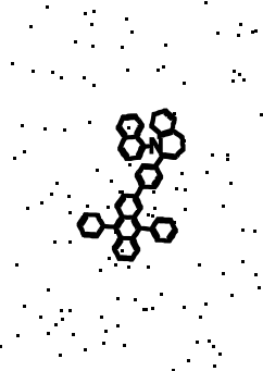 C1=CCC(c2c3ccccc3c(-c3ccccc3)c3cc(-c4ccc(C5=CCCC6=C(CCC=C6)N5c5cccc6ccccc56)cc4)ccc23)C=C1